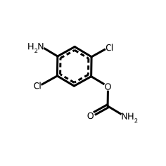 NC(=O)Oc1cc(Cl)c(N)cc1Cl